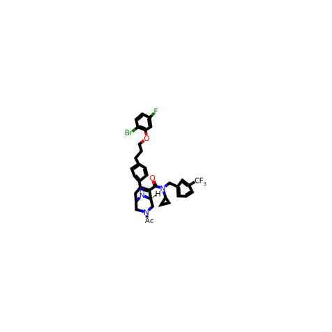 CC(=O)N1CC2CC(c3ccc(CCCOc4cc(F)ccc4Br)cc3)=C(C(=O)N(Cc3cccc(C(F)(F)F)c3)C3CC3)[C@@H](C1)N2